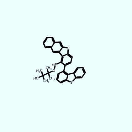 CC(C)(O)C(C)(C)OBc1c(-c2cccc3sc4ccccc4c23)ccc2oc3cc4ccccc4cc3c12